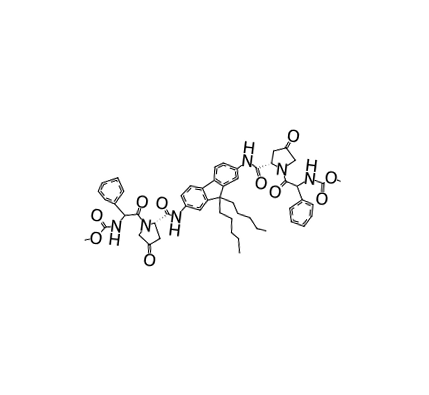 CCCCCC1(CCCCC)c2cc(NC(=O)[C@@H]3CC(=O)CN3C(=O)C(NC(=O)OC)c3ccccc3)ccc2-c2ccc(NC(=O)[C@@H]3CC(=O)CN3C(=O)C(NC(=O)OC)c3ccccc3)cc21